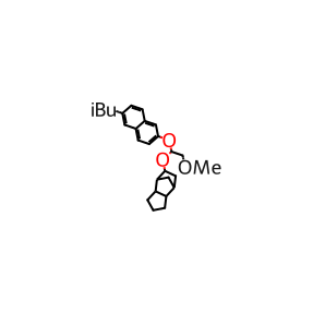 CCC(C)c1ccc2cc(OC(COC)OC3CC4CC3C3CCCC43)ccc2c1